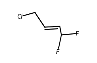 FC(F)C=CCCl